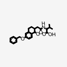 CC(C)[C@H](NC(=O)CC1CCc2cc(OCc3ccccc3)ccc2C1=O)C(=O)O